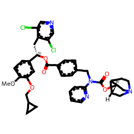 COc1ccc([C@H](Cc2c(Cl)cncc2Cl)OC(=O)c2ccc(CN(C(=O)O[C@H]3CN4CCC3CC4)c3ccccn3)cc2)cc1OCC1CC1